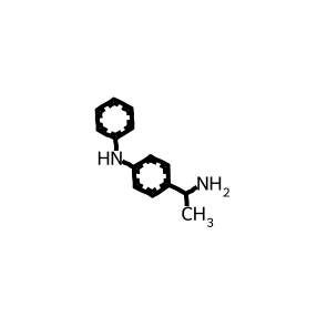 CC(N)c1ccc(Nc2ccccc2)cc1